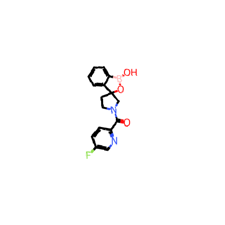 O=C(c1ccc(F)cn1)N1CCC2(C1)OB(O)c1ccccc12